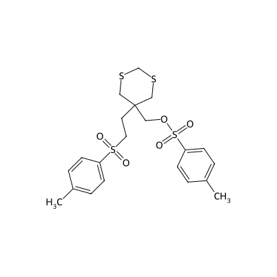 Cc1ccc(S(=O)(=O)CCC2(COS(=O)(=O)c3ccc(C)cc3)CSCSC2)cc1